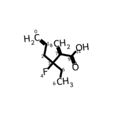 C=CCC(F)(CC)C(=C)C(=O)O